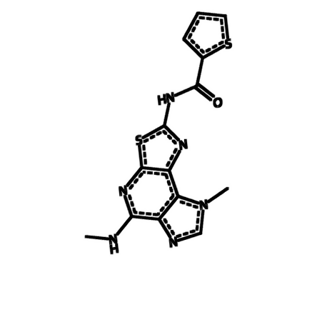 CNc1nc2sc(NC(=O)c3cccs3)nc2c2c1ncn2C